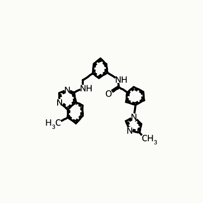 Cc1cn(-c2cccc(C(=O)Nc3cccc(CNc4ncnc5c(C)cccc45)c3)c2)cn1